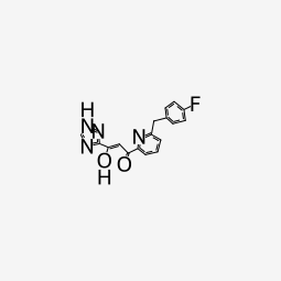 O=C(C=C(O)c1nc[nH]n1)c1cccc(Cc2ccc(F)cc2)n1